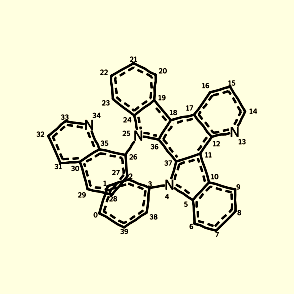 c1ccc(-n2c3ccccc3c3c4ncccc4c4c5ccccc5n(-c5cccc6cccnc56)c4c32)cc1